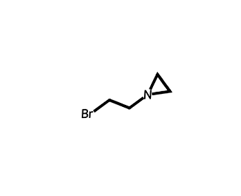 BrCCN1CC1